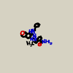 Cc1cc2c(C(N)=O)cccc2n1-c1nc2c(c(NCc3ccccc3)n1)CC1COCCC1C2